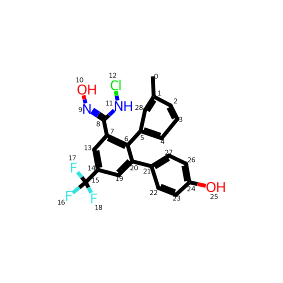 Cc1cccc(-c2c(C(=NO)NCl)cc(C(F)(F)F)cc2-c2ccc(O)cc2)c1